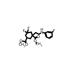 COC(=O)C1CC(F)(F)CC(CCNc2cccc(F)c2)(C(=O)OC)C1